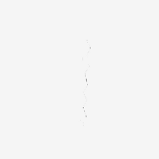 CCOCCCCCCCO